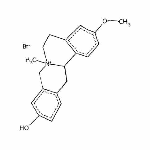 COc1ccc2c(c1)CC[N+]1(C)Cc3cc(O)ccc3CC21.[Br-]